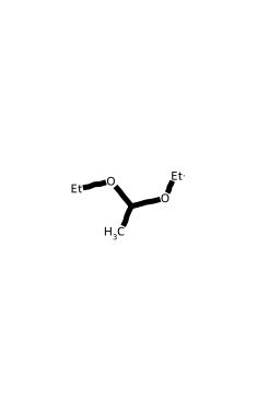 C[CH]OC(C)OCC